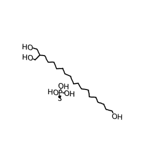 OCCCCCCCCCCCCCCCCCC(CO)CO.OP(O)(O)=S